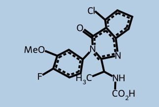 COc1cc(-n2c(C(C)NC(=O)O)nc3cccc(Cl)c3c2=O)ccc1F